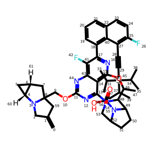 C=C1CN2[C@@H]3C[C@@H]3CC2(COc2nc3c4c(nc(-c5cccc6ccc(F)c(C#C[Si](C(C)C)(C(C)C)C(C)C)c56)c(F)c4n2)OC(C)C2C4CCC(CN32)N4C(=O)O)C1